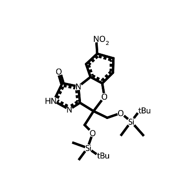 CC(C)(C)[Si](C)(C)OCC1(CO[Si](C)(C)C(C)(C)C)Oc2ccc([N+](=O)[O-])cc2-n2c1n[nH]c2=O